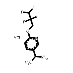 CC(N)c1ccc(OCC(F)(F)C(F)F)nc1.Cl